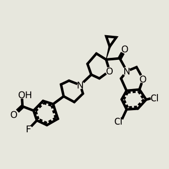 O=C(O)c1cc(C2CCN(C3CC[C@@](C(=O)N4COc5c(Cl)cc(Cl)cc5C4)(C4CC4)OC3)CC2)ccc1F